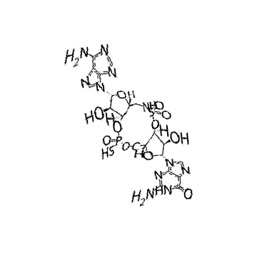 Nc1nc2c(ncn2[C@@H]2O[C@@H]3CO[P@@](=O)(S)O[C@H]4[C@@H](O)[C@H](n5cnc6c(N)ncnc65)O[C@@H]4CNS(=O)(=O)O[C@H]3[C@H]2O)c(=O)[nH]1